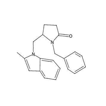 Cc1cc2ccccc2n1CC1CCC(=O)N1Cc1ccccc1